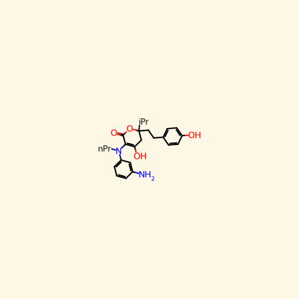 CCCN(C1=C(O)CC(CCc2ccc(O)cc2)(C(C)C)OC1=O)c1cccc(N)c1